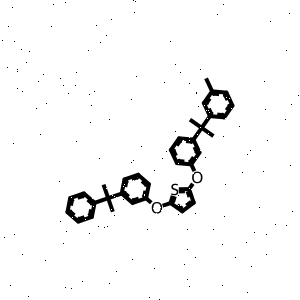 Cc1cccc(C(C)(C)c2cccc(Oc3ccc(Oc4cccc(C(C)(C)c5ccccc5)c4)s3)c2)c1